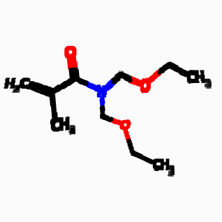 C=C(C)C(=O)N(COCC)COCC